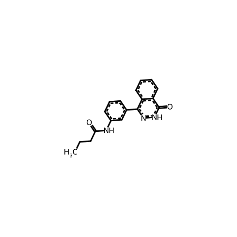 CCCC(=O)Nc1cccc(-c2n[nH]c(=O)c3ccccc23)c1